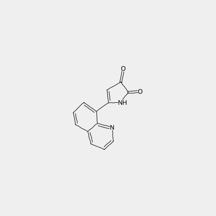 O=C1C=C(c2cccc3cccnc23)NC1=O